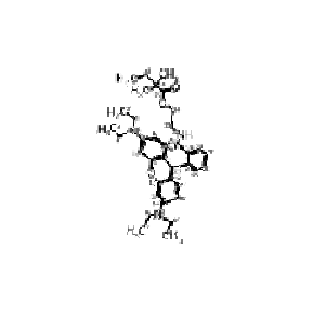 CCN(CC)c1ccc2c(c1)Oc1cc(N(CC)CC)ccc1C2c1ccccc1C(=O)NCCOC(=O)C(C)(C)CC